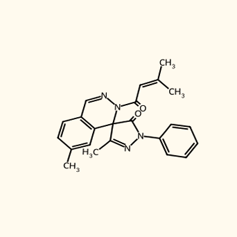 CC(C)=CC(=O)N1N=Cc2ccc(C)cc2C12C(=O)N(c1ccccc1)N=C2C